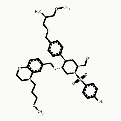 COCCCN1CCOc2ccc(CO[C@H]3CN(S(=O)(=O)c4ccc(C)cc4)[C@H](CBr)C[C@@H]3c3ccc(COC[C@@H](C)COC)cc3)cc21